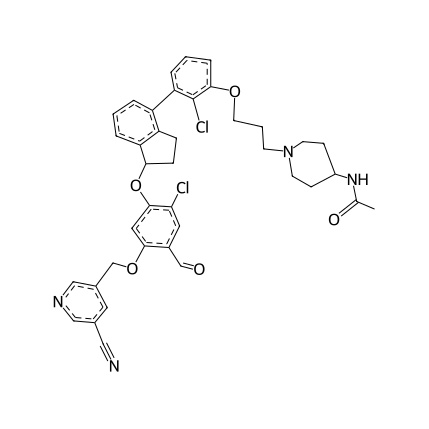 CC(=O)NC1CCN(CCCOc2cccc(-c3cccc4c3CCC4Oc3cc(OCc4cncc(C#N)c4)c(C=O)cc3Cl)c2Cl)CC1